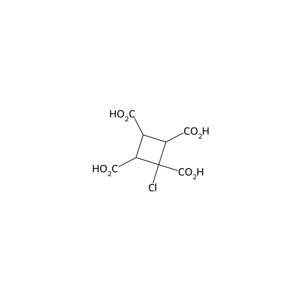 O=C(O)C1C(C(=O)O)C(Cl)(C(=O)O)C1C(=O)O